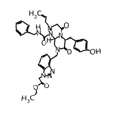 C=CCN1CC(=O)N2[C@@H](Cc3ccc(O)cc3)C(=O)N(Cc3cccc4c3nnn4CC(=O)OCC)C[C@@H]2N1C(=O)NCc1ccccc1